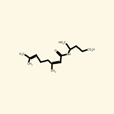 CC(C)=CCCC(C)=CC(=O)NC(CCC(=O)O)C(=O)O